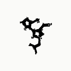 CC(C)Cn1cc(C=O)c(-c2sccc2Br)n1